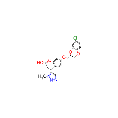 Cn1nncc1C(CC(=O)O)c1ccc(OC[C@H]2COc3ccc(Cl)cc3O2)cc1